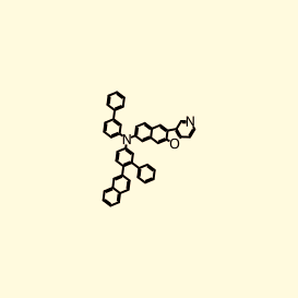 c1ccc(-c2cccc(N(c3ccc(-c4ccc5ccccc5c4)c(-c4ccccc4)c3)c3ccc4cc5c(cc4c3)oc3ccncc35)c2)cc1